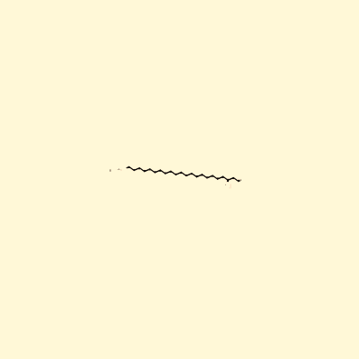 CCCCCCCCCCCCCCCCCCCCCCCCCCCCCC(N)CCO